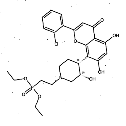 CCOP(=O)(CCN1CC[C@H](c2c(O)cc(O)c3c(=O)cc(-c4ccccc4Cl)oc23)[C@H](O)C1)OCC